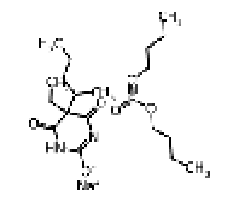 CCCC(C)C1(CC)C(=O)N=C([O-])NC1=O.CCCCO[PH](=O)OCCCC.[Na+]